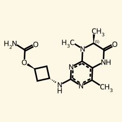 Cc1nc(N[C@H]2C[C@H](OC(N)=O)C2)nc2c1NC(=O)[C@H](C)N2C